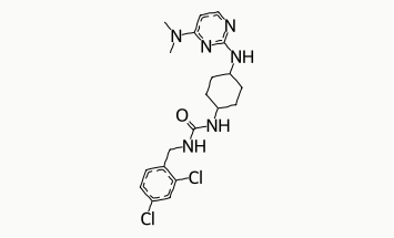 CN(C)c1ccnc(NC2CCC(NC(=O)NCc3ccc(Cl)cc3Cl)CC2)n1